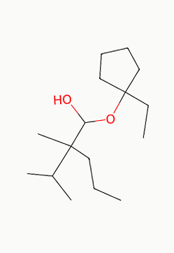 CCCC(C)(C(C)C)C(O)OC1(CC)CCCC1